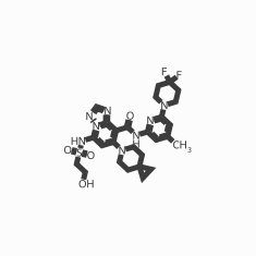 Cc1cc(NC(=O)c2c(N3CCC4(CC3)CC4)cc(NS(=O)(=O)CCO)n3ncnc23)nc(N2CCC(F)(F)CC2)c1